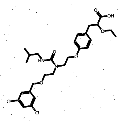 CCOC(Cc1ccc(OCCN(CCOCc2cc(Cl)cc(Cl)c2)C(=O)NCC(C)C)cc1)C(=O)O